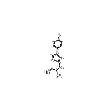 OCC(Nc1nc(-c2ccc(Br)cc2)cs1)C(F)(F)F